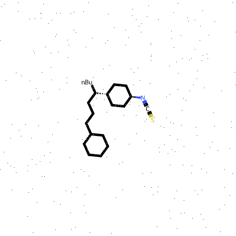 CCCCC(CCCC1CCCCC1)[C@H]1CC[C@H](N=C=S)CC1